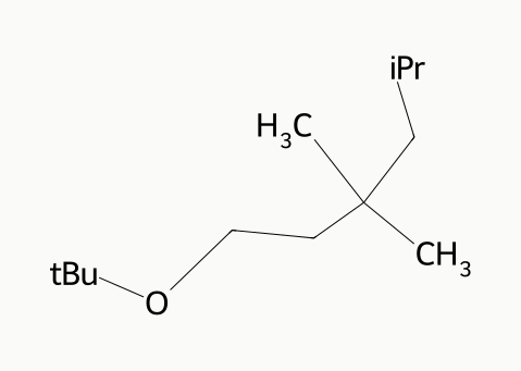 CC(C)CC(C)(C)CCOC(C)(C)C